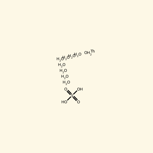 O.O.O.O.O.O.O.O.O.O=S(=O)(O)O.[Th]